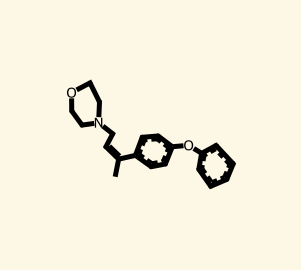 CC(=CCN1CCOCC1)c1ccc(Oc2ccccc2)cc1